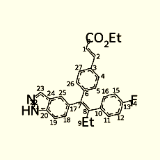 CCOC(=O)/C=C/c1ccc(/C(=C(/CC)c2ccc(F)cc2)c2ccc3[nH]ncc3c2)cc1